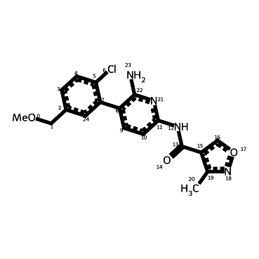 COCc1ccc(Cl)c(-c2ccc(NC(=O)c3conc3C)nc2N)c1